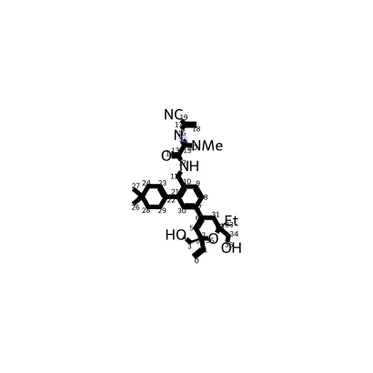 C=C[C@]1(CO)C=C(c2ccc(CNC(=O)/C(=N/C(=C)C#N)NC)c(C3=CCC(C)(C)CC3)c2)C[C@@](CC)(CO)O1